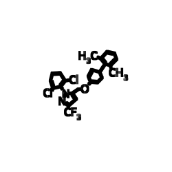 Cc1cccc(C)c1C1C=CC(OCc2cc(C(F)(F)F)nn2-c2c(Cl)cccc2Cl)=CC1